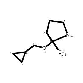 CC1(OCC2CC2)CCC[N]1